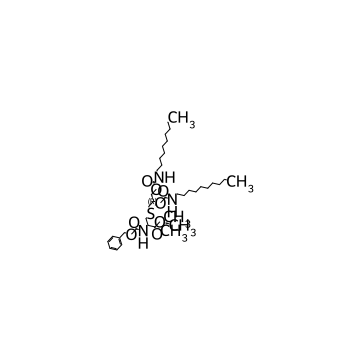 CCCCCCCCCCNC(=O)OC[C@H](CSCC(NC(=O)OCc1ccccc1)C(=O)OC(C)(C)C)OC(=O)NCCCCCCCCCC